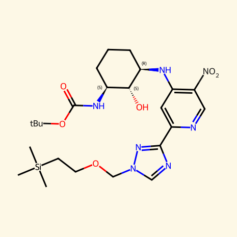 CC(C)(C)OC(=O)N[C@H]1CCC[C@@H](Nc2cc(-c3ncn(COCC[Si](C)(C)C)n3)ncc2[N+](=O)[O-])[C@@H]1O